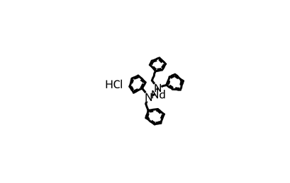 Cl.c1ccc(C[N]([Nd][N](Cc2ccccc2)c2ccccc2)c2ccccc2)cc1